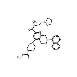 C=CC(=O)N1CCN(c2cc(C(=O)N(C)CCN3CCCC3)nc3c2CCN(c2cccc4ccccc24)C3)CC1